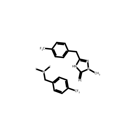 Cn1nc(Cc2ccc(C(F)(F)F)cc2)[nH][c]1=[Pt].FC(F)(F)c1ccc(CN(I)I)cc1